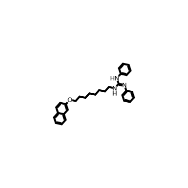 c1ccc(/N=C(\NCCCCCCCCOc2ccc3ccccc3c2)Nc2ccccc2)cc1